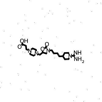 N=C(N)N1CCC(CCCCN2CC(CN3CCN(CCC(=O)O)CC3)OC2=O)CC1